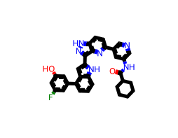 O=C(Nc1cncc(-c2ccc3[nH]nc(-c4cc5c(-c6cc(O)cc(F)c6)cccc5[nH]4)c3n2)c1)C1CCCCC1